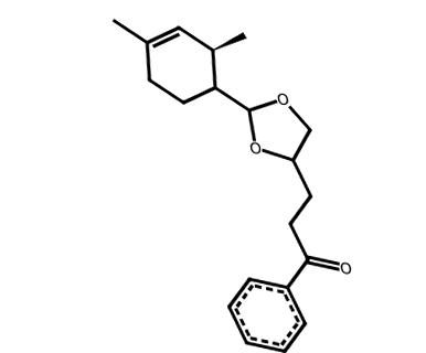 CC1=C[C@@H](C)C(C2OCC(CCC(=O)c3ccccc3)O2)CC1